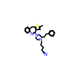 Cc1cc2c(s1)Cc1ccccc1N=C2N1CCN(CCCCC#N)C(CCc2ccccc2)C1